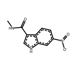 CNC(=O)c1c[nH]c2cc([N+](=O)[O-])ccc12